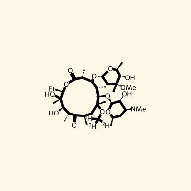 [2H]C([2H])([2H])O[C@]1(C)C[C@@H](C)C(=O)[C@H](C)[C@@H](O)[C@](C)(O)[C@@H](CC)OC(=O)[C@H](C)C(O[C@H]2C[C@@](C)(OC)[C@@H](O)[C@H](C)O2)[C@H](C)[C@H]1O[C@@H]1O[C@H](C)C[C@H](NC)[C@H]1O